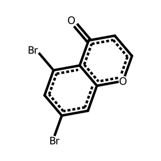 O=c1ccoc2cc(Br)cc(Br)c12